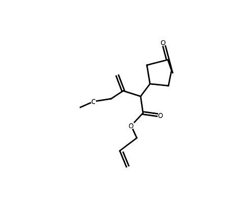 C=CCOC(=O)C(C(=C)CCC)C1CCC(=O)C1